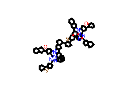 c1ccc(-c2nc(-c3ccc4sc5ccccc5c4c3)nc(-c3cc4c(cc3-n3c5cc6ccccc6cc5c5cc6c(-c7cccc8c7sc7ccc(-c9nc(-c%10ccc%11ccccc%11c%10)nc(-c%10cc%11c(cc%10-n%10c%12cc%13ccccc%13cc%12c%12ccc%13ccccc%13c%12%10)oc%10ccccc%10%11)n9)cc78)cccc6cc53)oc3cc5ccccc5cc34)n2)cc1